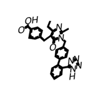 CCc1nc(C)n(Cc2ccc(-c3ccccc3-c3nnn[nH]3)cc2)c(=O)c1Cc1ccc(C(=O)O)cc1